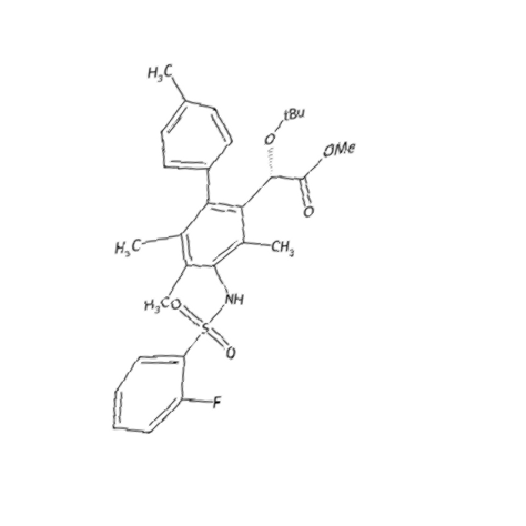 COC(=O)[C@@H](OC(C)(C)C)c1c(C)c(NS(=O)(=O)c2ccccc2F)c(C)c(C)c1-c1ccc(C)cc1